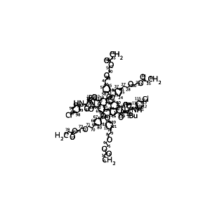 C=CC(=O)OCCOCCc1ccc(Oc2cc3c4c(cc(Oc5ccc(CCOCCOC(=O)C=C)cc5)c5c6c(Oc7ccc(CCOCCOC(=O)C=C)cc7)cc7c8c(cc(Oc9ccc(CCOCCOC(=O)C=C)cc9)c(c2c45)c86)C(=O)N(C(C(=O)Nc2ccc(Cl)cc2)C(C)CC)C7=O)C(=O)N(C(C(=O)Nc2ccc(Cl)cc2)C(C)CC)C3=O)cc1